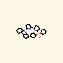 O=P(c1ccccc1)(c1ccccc1)c1cccc(-c2cccc(-n3c4ccccc4c4ccccc43)n2)n1